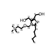 CCCCCc1nc(CO)c(CO)n1COCC[Si](C)(C)C